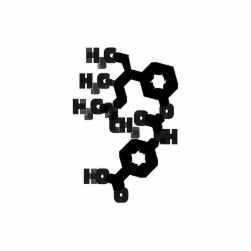 CC[C@@H](c1cccc(OC(=O)Nc2ccc(C(=O)O)cc2)c1)[C@@H](C)CN(C)C